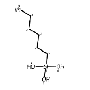 CC(C)CCCCC[Si](O)(O)O